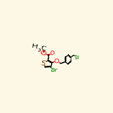 COC(=O)c1scc(Br)c1OCc1ccc(CBr)cc1